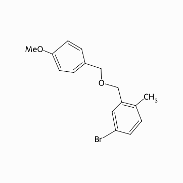 COc1ccc(COCc2cc(Br)ccc2C)cc1